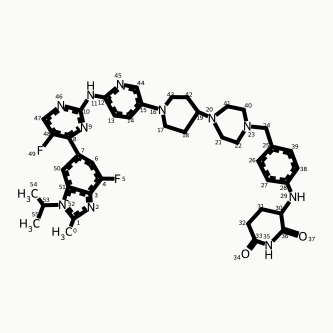 Cc1nc2c(F)cc(-c3nc(Nc4ccc(N5CCC(N6CCN(Cc7ccc(NC8CCC(=O)NC8=O)cc7)CC6)CC5)cn4)ncc3F)cc2n1C(C)C